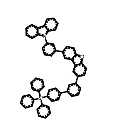 c1ccc([Si](c2ccccc2)(c2ccccc2)c2ccc(-c3cccc(-c4ccc5oc6ccc(-c7cccc(-n8c9ccccc9c9ccccc98)c7)cc6c5c4)c3)cc2)cc1